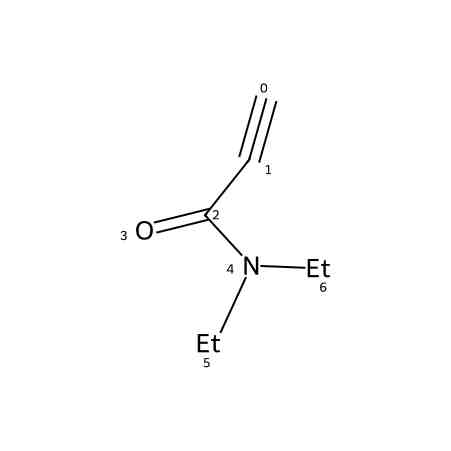 C#CC(=O)N(CC)CC